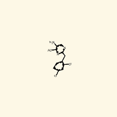 Nc1cnc(Cc2ccc(Cl)cc2Cl)nc1O